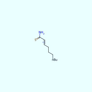 CCCCCCC/C=C/C(N)=S